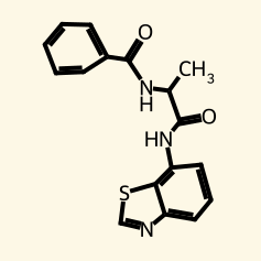 CC(NC(=O)c1ccccc1)C(=O)Nc1cccc2ncsc12